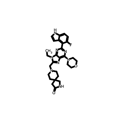 CCn1c(CN2CCC3(CC2)CNC(=O)C3)nc2c(N3CCOCC3)nc(-c3c(F)ccc4[nH]ccc34)nc21